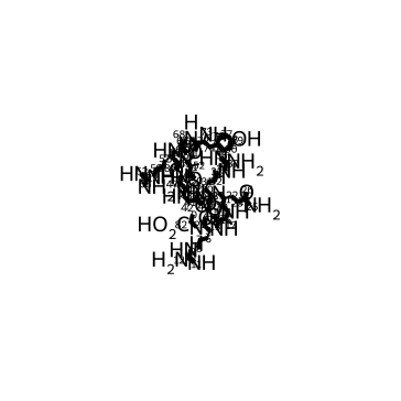 C[C@H](NC(=O)[C@H](CCCNC(=N)N)NC(=O)[C@H](C)NC(=O)[C@H](CCC(N)=O)NC(=O)[C@H](CCCNC(=N)N)NC(=O)[C@H](C)NC(=O)[C@H](C)NC(=O)[C@H](C)NC(=O)[C@H](CCCNC(=N)N)NC(=O)[C@H](C)NC(=O)[C@@H](N)Cc1ccc(O)cc1)C(=O)O